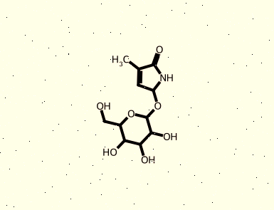 CC1=CC(OC2OC(CO)C(O)C(O)C2O)NC1=O